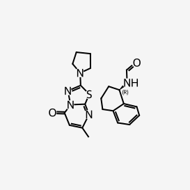 Cc1cc(=O)n2nc(N3CCCC3)sc2n1.O=CN[C@@H]1CCCc2ccccc21